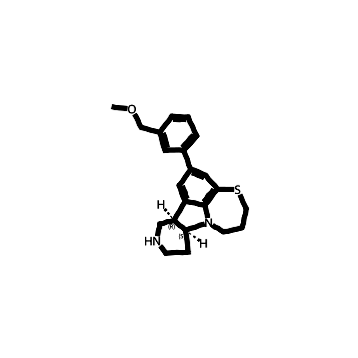 COCc1cccc(-c2cc3c4c(c2)[C@@H]2CNCC[C@@H]2N4CCCS3)c1